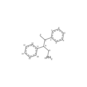 CC(c1ccccc1)C(CP)c1ccccc1